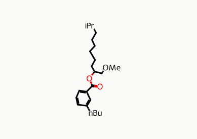 CCCCc1cccc(C(=O)OC(CCCCCCC(C)C)COC)c1